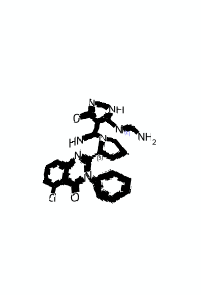 N=C(c1c(/N=C/N)[nH]cnc1=O)N1CCC[C@H]1c1nc2cccc(Cl)c2c(=O)n1-c1ccccc1